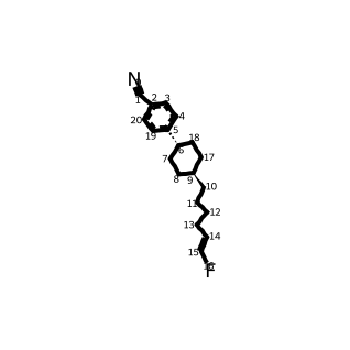 N#Cc1ccc([C@H]2CC[C@H](CCCCC=CF)CC2)cc1